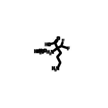 Cl.NCCCC(N)(C(=O)O)C(F)F.O.O